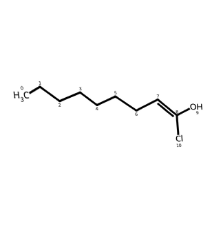 CCCCCCCC=C(O)Cl